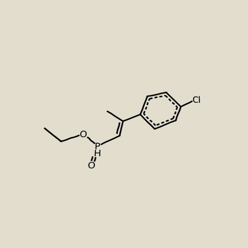 CCO[PH](=O)C=C(C)c1ccc(Cl)cc1